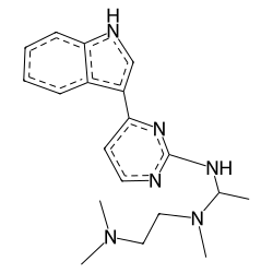 CC(Nc1nccc(-c2c[nH]c3ccccc23)n1)N(C)CCN(C)C